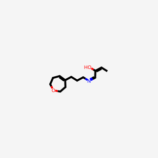 C/C=C(O)\C=N/CCCC1=CCCOCC1